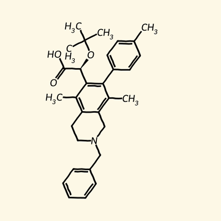 Cc1ccc(-c2c(C)c3c(c(C)c2[C@H](OC(C)(C)C)C(=O)O)CCN(Cc2ccccc2)C3)cc1